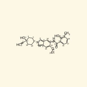 C#C[C@]1(O)CC[C@H](n2cc3cc(NC(=O)c4cccc(C)[n+]4O)c(OCC)cc3n2)CC1